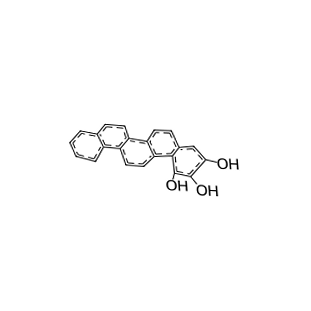 Oc1cc2ccc3c4ccc5ccccc5c4ccc3c2c(O)c1O